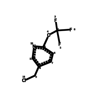 FC(F)(F)Oc1ccc(CCl)cn1